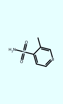 Cc1cbccc1S(N)(=O)=O